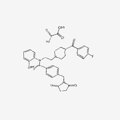 COc1ccccc1N(CCN1CCC(C(=O)c2ccc(F)cc2)CC1)C(=O)c1ccc(CN2C(=O)CCC2=O)cc1.O=C(O)C(=O)O